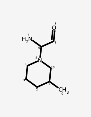 CC1CCCN(C(N)C=O)C1